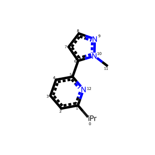 CC(C)c1cccc(-c2ccnn2C)n1